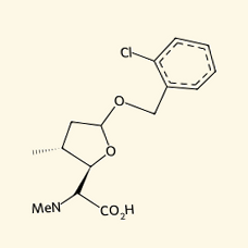 CNC(C(=O)O)[C@@H]1OC(OCc2ccccc2Cl)C[C@H]1C